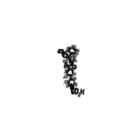 O=C1OC2(CCN(C(=O)C3(c4ccc(C5CCN(C(=O)O)CC5)cc4)CC3)C2)c2ccccc21